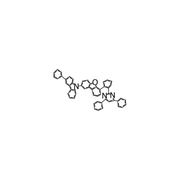 c1ccc(-c2ccc3c(c2)c2ccccc2n3-c2ccc3oc4c(-c5ccccc5-c5nc(-c6ccccc6)cc(-c6ccccc6)n5)cccc4c3c2)cc1